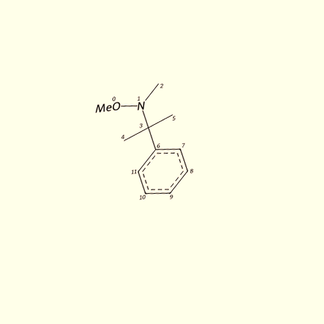 CON(C)C(C)(C)c1ccccc1